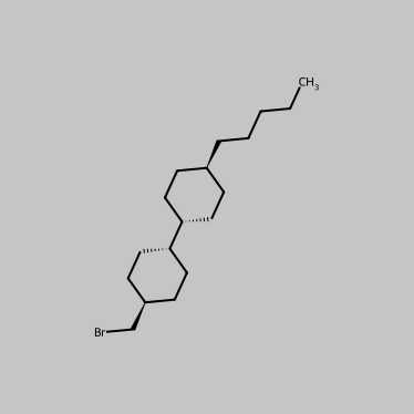 CCCCC[C@H]1CC[C@H]([C@H]2CC[C@H](CBr)CC2)CC1